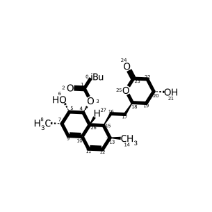 CCC(C)C(=O)O[C@H]1[C@@H](O)[C@@H](C)C=C2C=C[C@H](C)[C@H](CC[C@@H]3C[C@@H](O)CC(=O)O3)[C@H]21